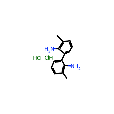 Cc1cccc(-c2cccc(C)c2N)c1N.Cl.Cl